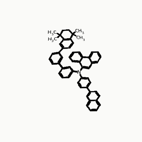 CC1(C)CCC(C)(C)c2cc(-c3cccc(-c4cccc(N(c5ccc(-c6ccc7ccccc7c6)cc5)c5cc6ccccc6c6ccccc56)c4)c3)ccc21